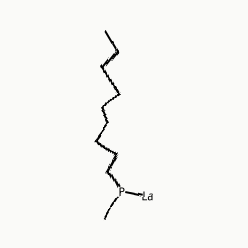 CCCCCCCCC[P](C)[La]